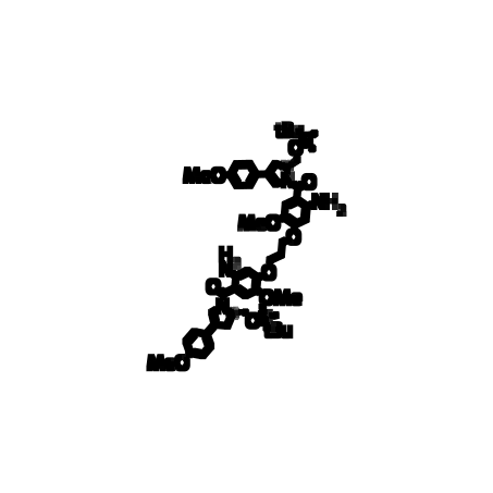 COc1ccc(C2=CN(C(=O)c3cc(OC)c(OCCCOc4cc(N)c(C(=O)N5C=C(c6ccc(OC)cc6)C[C@H]5CO[Si](C)(C)C(C)(C)C)cc4OC)cc3N)[C@H](CO[Si](C)(C)C(C)(C)C)C2)cc1